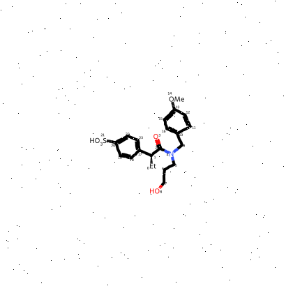 CC[C@H](C(=O)N(CCCO)Cc1ccc(OC)cc1)c1ccc(S(=O)(=O)O)cc1